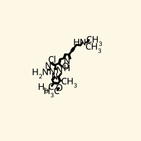 COc1c(C)cnc(CN2C(=O)/C(=C\c3cc(C#CCCNC(C)C)c[nH]3)c3c(Cl)nc(N)nc32)c1C